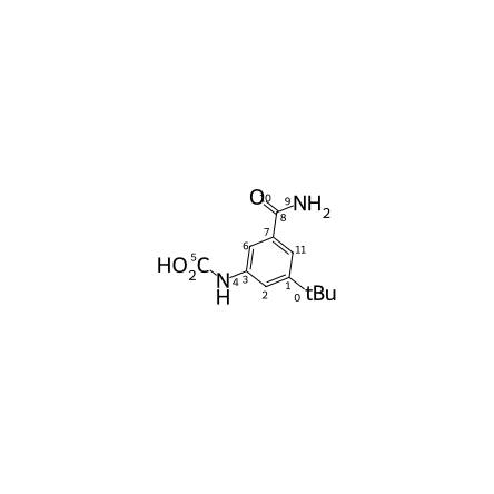 CC(C)(C)c1cc(NC(=O)O)cc(C(N)=O)c1